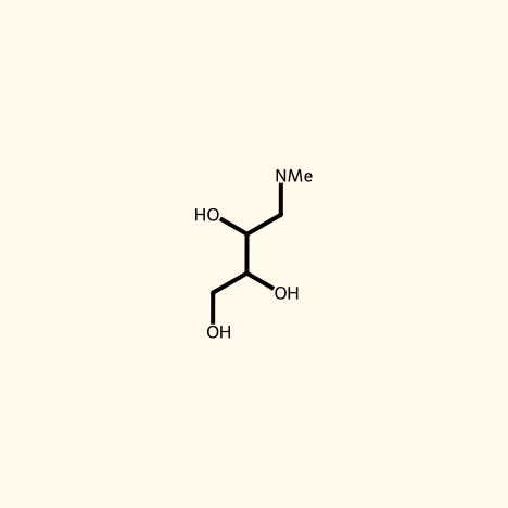 CNCC(O)C(O)CO